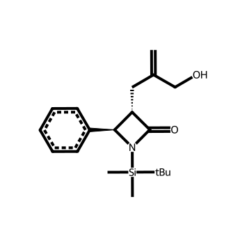 C=C(CO)C[C@@H]1C(=O)N([Si](C)(C)C(C)(C)C)[C@H]1c1ccccc1